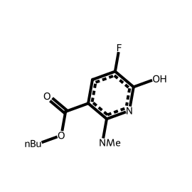 CCCCOC(=O)c1cc(F)c(O)nc1NC